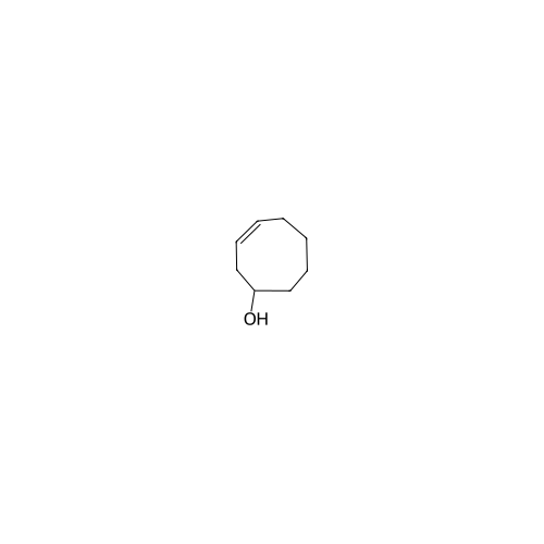 OC1C/C=C\CCCC1